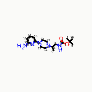 CC(CNC(=O)OC(C)(C)C)N1CCN(c2cccc(N)n2)CC1